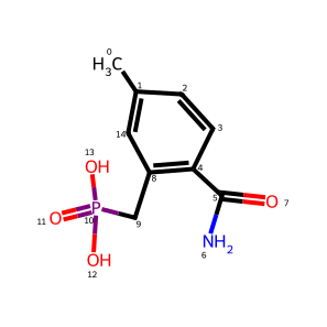 Cc1ccc(C(N)=O)c(CP(=O)(O)O)c1